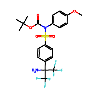 COc1ccc(N(C(=O)OC(C)(C)C)S(=O)(=O)c2ccc(C(N)(C(F)(F)F)C(F)(F)F)cc2)cc1